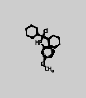 COc1cccc(PC(Cl)(C2CCCCC2)C2CCCCC2)c1